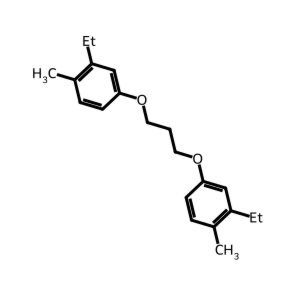 CCc1cc(OCCCOc2ccc(C)c(CC)c2)ccc1C